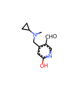 CN(Cc1cc(O)ncc1C=O)C1CC1